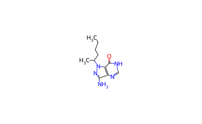 CCCCC(C)n1nc(N)c2nc[nH]c(=O)c21